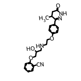 CC1CC(=O)NN=C1c1ccc(OCCNCC(O)COc2ccccc2C#N)cc1